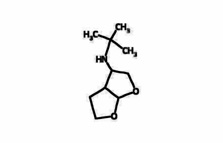 CC(C)(C)NC1COC2OCCC12